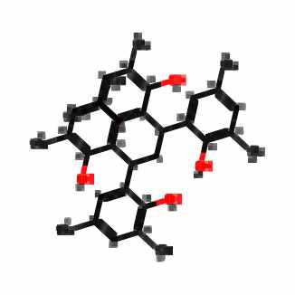 CC(C)(C)c1cc(C(CC(c2cc(C(C)(C)C)cc(C(C)(C)C)c2O)c2cc(C(C)(C)C)cc(C(C)(C)C)c2O)c2cc(C(C)(C)C)cc(C(C)(C)C)c2O)c(O)c(C(C)(C)C)c1